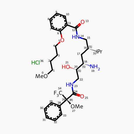 COCCCCOc1ccccc1C(=O)NC[C@@H](C[C@H](N)[C@@H](O)CNC(=O)[C@](OC)(c1ccccc1)C(F)(F)F)C(C)C.Cl